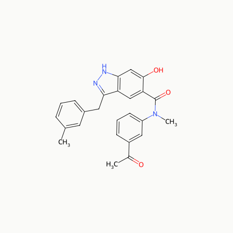 CC(=O)c1cccc(N(C)C(=O)c2cc3c(Cc4cccc(C)c4)n[nH]c3cc2O)c1